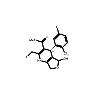 COC(=O)C1=C(CF)NC2=C(C(O)OC2)[C@H]1c1cc(F)ccc1C(F)(F)F